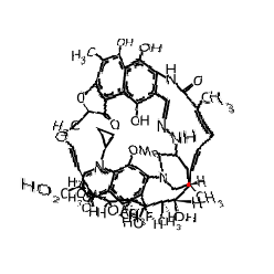 COc1c(N2CCCC(N/N=C/c3c4c(O)c5c(O)c(C)c6c(c5c3O)C(=O)[C@@](C)(O/C=C/[C@H](OC)[C@@H](C)[C@@H](OC(C)=O)[C@H](C)[C@H](O)[C@H](C)[C@@H](O)[C@@H](C)/C=C/C=C(/C)C(=O)N4)O6)C2)c(F)cc2c(=O)c(C(=O)O)cn(C3CC3)c12